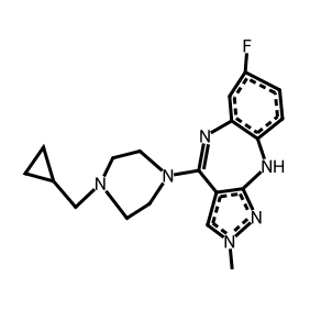 Cn1cc2c(n1)Nc1ccc(F)cc1N=C2N1CCN(CC2CC2)CC1